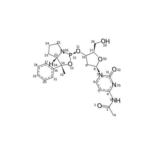 CC(=O)Nc1ccn([C@H]2CC(O[P@@]3O[C@](C)(c4ccccc4)[C@@H]4CCCN43)[C@@H](CO)O2)c(=O)n1